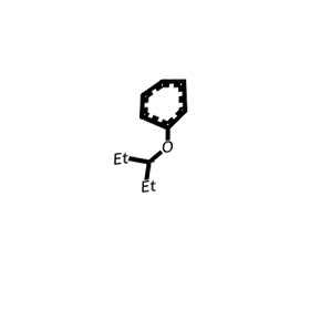 CC[C](CC)Oc1ccccc1